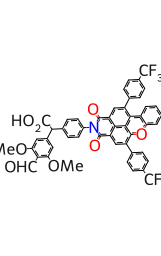 COc1cc(C(C(=O)O)c2ccc(-n3c(=O)c4cc(-c5ccc(C(F)(F)F)cc5)c5oc6ccccc6c6c(-c7ccc(C(F)(F)F)cc7)cc(c3=O)c4c56)cc2)cc(OC)c1C=O